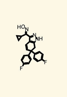 O/N=C(/c1n[nH]c2c1C=CC(c1ccc(F)cc1)(c1ccc(F)cc1)C2)C1CC1